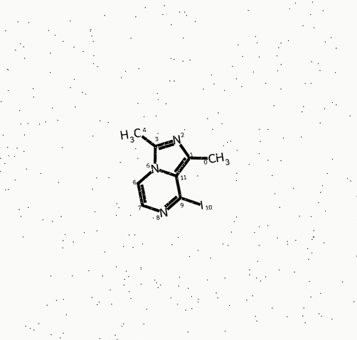 Cc1nc(C)n2ccnc(I)c12